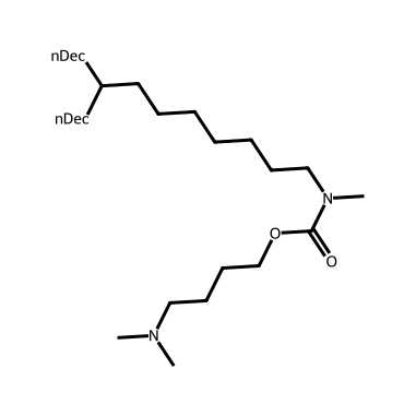 CCCCCCCCCCC(CCCCCCCCCC)CCCCCCCN(C)C(=O)OCCCCN(C)C